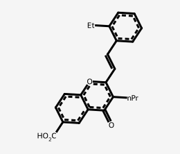 CCCc1c(/C=C/c2ccccc2CC)oc2ccc(C(=O)O)cc2c1=O